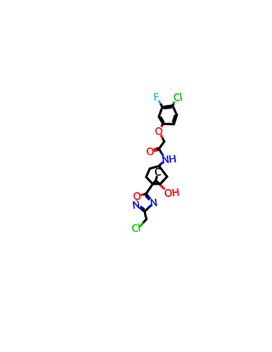 O=C(COc1ccc(Cl)c(F)c1)NC12CCC(c3nc(CCl)no3)(CC1)C(O)C2